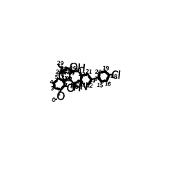 COc1ccc2c3c1O[C@H]1c4ncc(-c5ccc(Cl)cc5)cc4C[C@@]4(O)C(C2)N(C)CC[C@]314